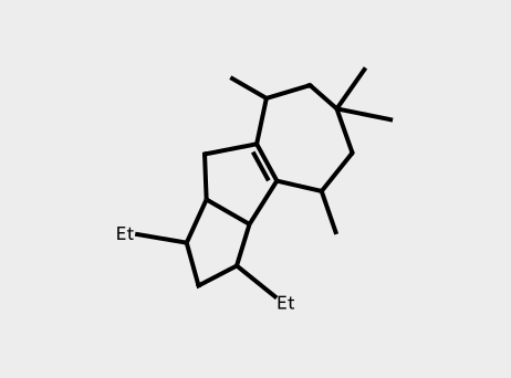 CCC1CC(CC)C2C3=C(CC12)C(C)CC(C)(C)CC3C